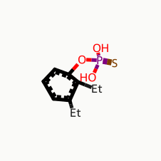 CCc1cccc(OP(O)(O)=S)c1CC